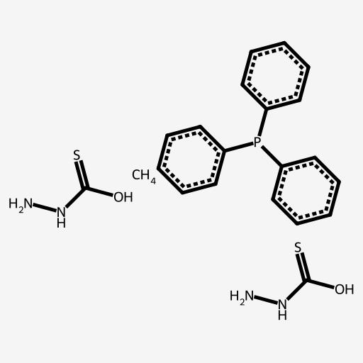 C.NNC(O)=S.NNC(O)=S.c1ccc(P(c2ccccc2)c2ccccc2)cc1